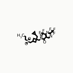 CCCS(=O)(=O)CC1CC(CNC(=O)c2cnc(C(F)(F)F)nc2C(F)(F)F)(CC2CC2)C1